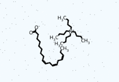 CC/C=C\C/C=C\C/C=C\CCCCCCCC(=O)[O-].CCCC[N+](CCCC)(CCCC)CCCC